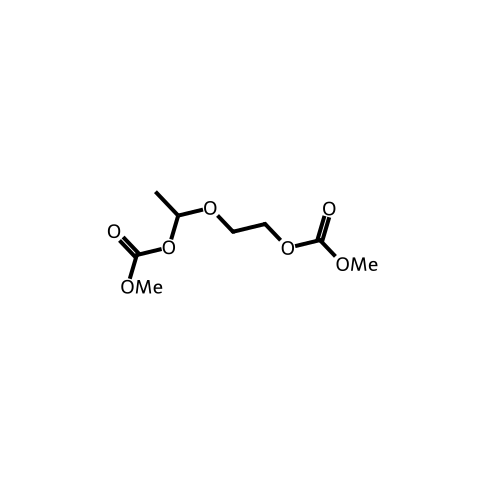 COC(=O)OCCOC(C)OC(=O)OC